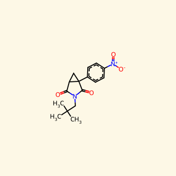 CC(C)(C)CN1C(=O)C2CC2(c2ccc([N+](=O)[O-])cc2)C1=O